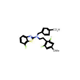 COc1cc(F)c(CCN(Cc2ccc(C(=O)O)cc2)c2nc3cccc(F)c3s2)c(F)c1